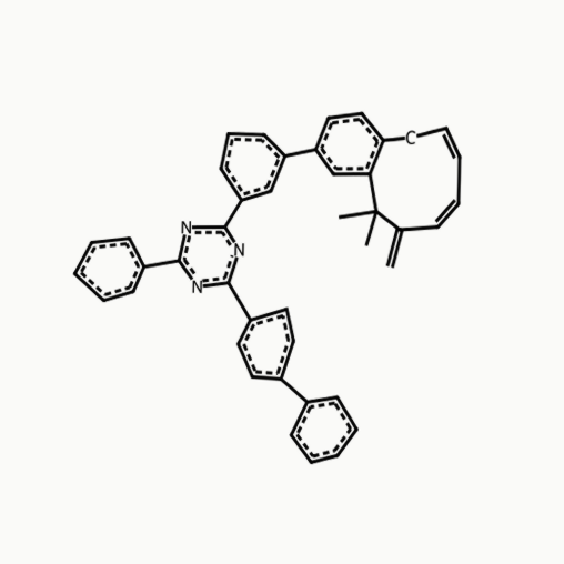 C=C1/C=C\C=C/Cc2ccc(-c3cccc(-c4nc(-c5ccccc5)nc(-c5ccc(-c6ccccc6)cc5)n4)c3)cc2C1(C)C